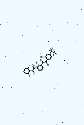 CN(C(=O)c1c(F)cccc1F)c1cccc(C(=O)N(Br)c2ccc(C(F)(C(F)(F)F)C(F)(F)C(F)(F)F)cc2Br)c1F